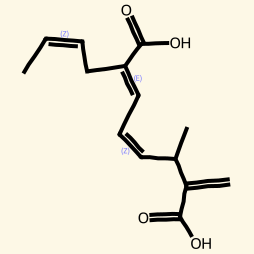 C=C(C(=O)O)C(C)/C=C\C=C(/C/C=C\C)C(=O)O